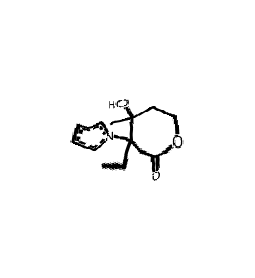 CCC1(n2cccc2)C(=O)OCCC1(C)O